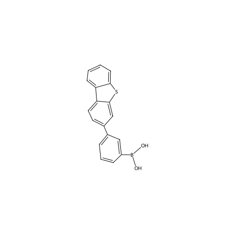 OB(O)c1cccc(-c2ccc3c(c2)sc2ccccc23)c1